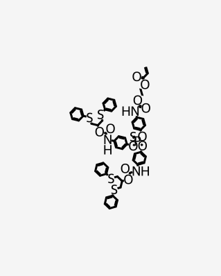 C=CC(=O)OCCOC(=O)Nc1ccc(OP(=S)(Oc2ccc(NC(=O)OC(CSc3ccccc3)CSc3ccccc3)cc2)Oc2ccc(NC(=O)OC(CSc3ccccc3)CSc3ccccc3)cc2)cc1